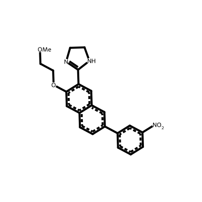 COCCOc1cc2ccc(-c3cccc([N+](=O)[O-])c3)cc2cc1C1=NCCN1